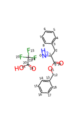 NC(Cc1ccccc1)C(=O)OCc1ccccc1.O=C(O)C(F)(F)F